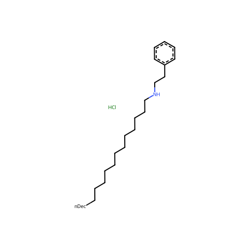 CCCCCCCCCCCCCCCCCCCCCCNCCc1ccccc1.Cl